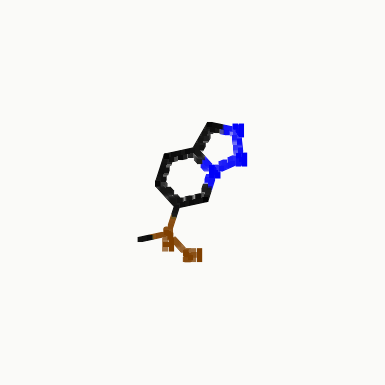 C[SH](S)c1ccc2cnnn2c1